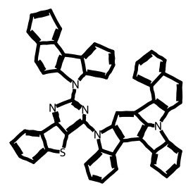 c1ccc2c(c1)ccc1c2c2ccccc2n1-c1nc(-n2c3ccccc3c3c4c5ccccc5n5c6ccc7ccccc7c6c(cc32)c45)c2sc3ccccc3c2n1